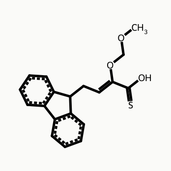 COCOC(=CCC1c2ccccc2-c2ccccc21)C(O)=S